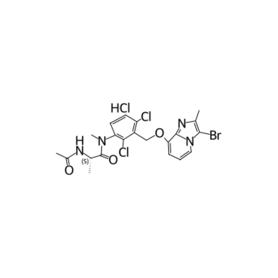 CC(=O)N[C@@H](C)C(=O)N(C)c1ccc(Cl)c(COc2cccn3c(Br)c(C)nc23)c1Cl.Cl